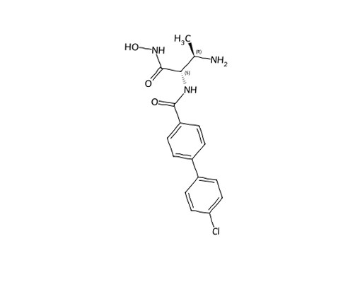 C[C@@H](N)[C@H](NC(=O)c1ccc(-c2ccc(Cl)cc2)cc1)C(=O)NO